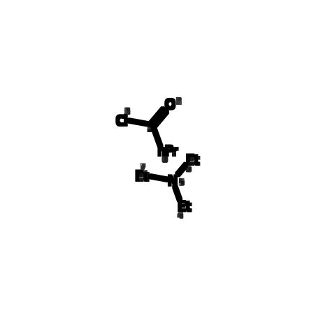 CCCC(=O)Cl.CCN(CC)CC